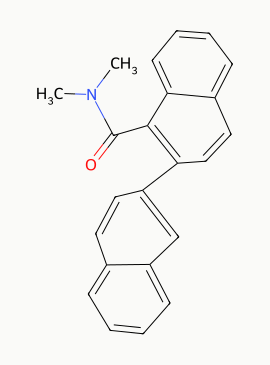 CN(C)C(=O)c1c(-c2ccc3ccccc3c2)ccc2ccccc12